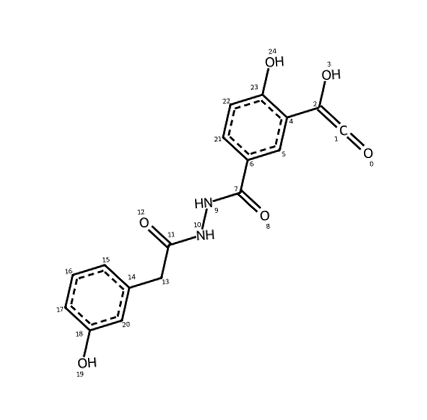 O=C=C(O)c1cc(C(=O)NNC(=O)Cc2cccc(O)c2)ccc1O